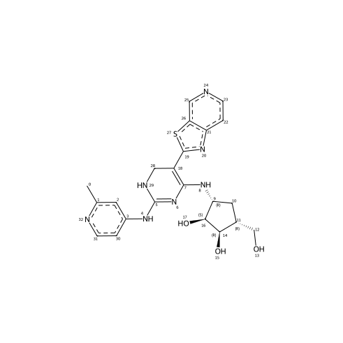 Cc1cc(NC2=NC(N[C@@H]3C[C@H](CO)[C@@H](O)[C@H]3O)=C(c3nc4ccncc4s3)CN2)ccn1